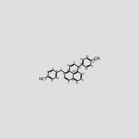 N#Cc1ccc(Cc2ccc3cccc4c3c2C=CC4c2ccc(C#N)cc2)cc1